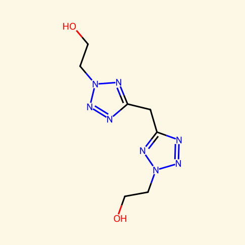 OCCn1nnc(Cc2nnn(CCO)n2)n1